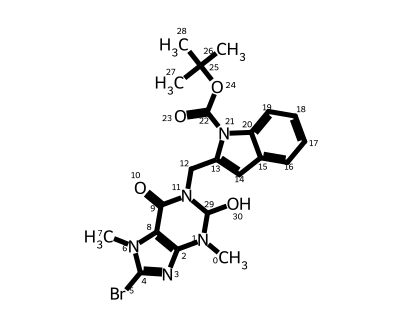 CN1c2nc(Br)n(C)c2C(=O)N(Cc2cc3ccccc3n2C(=O)OC(C)(C)C)C1O